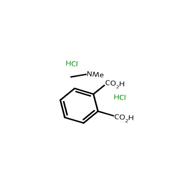 CNC.Cl.Cl.O=C(O)c1ccccc1C(=O)O